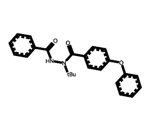 CC(C)(C)N(NC(=O)c1ccccc1)C(=O)c1ccc(Oc2ccccc2)cc1